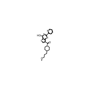 COCCCC1CCN(C(=O)c2csc3c(O)nc(-c4ccccn4)nc23)CC1